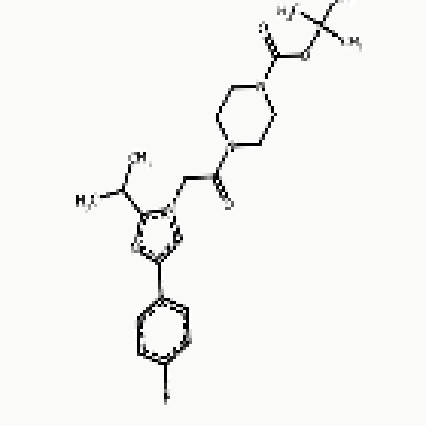 CC(C)c1nc(-c2ccc(F)cc2)cn1CC(=O)N1CCN(C(=O)OC(C)(C)C)CC1